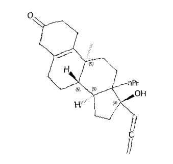 C=C=C[C@]1(O)CC[C@H]2[C@@H]3CCC4=C(CCC(=O)C4)[C@@]3(C)CCC21CCC